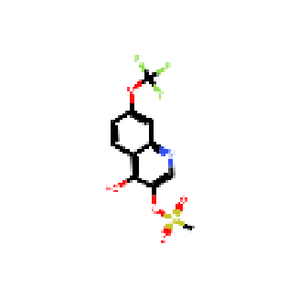 CS(=O)(=O)Oc1cnc2cc(OC(F)(F)F)ccc2c1O